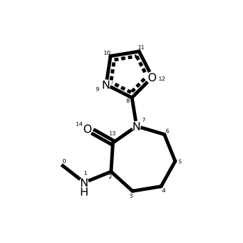 CNC1CCCCN(c2ncco2)C1=O